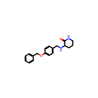 O=C1NCCCC1NCc1ccc(OCc2ccccc2)cc1